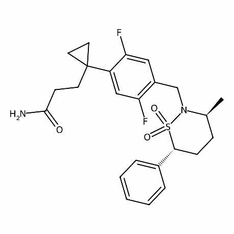 C[C@H]1CC[C@H](c2ccccc2)S(=O)(=O)N1Cc1cc(F)c(C2(CCC(N)=O)CC2)cc1F